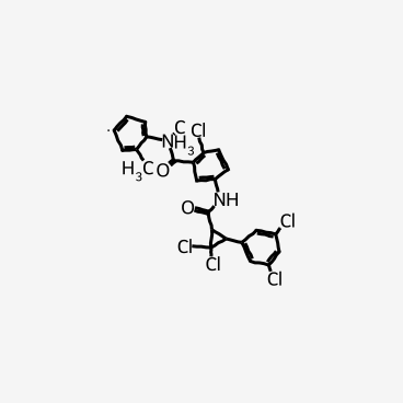 Cc1c[c]ccc1N(C)C(=O)c1cc(NC(=O)C2C(c3cc(Cl)cc(Cl)c3)C2(Cl)Cl)ccc1Cl